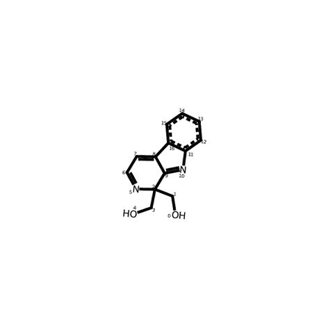 OCC1(CO)N=CC=C2C1=Nc1ccccc12